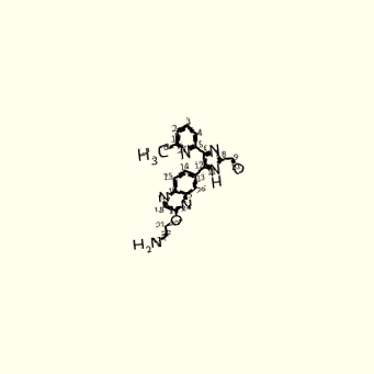 Cc1cccc(-c2nc(C=O)[nH]c2-c2ccc3ncc(OCCN)nc3c2)n1